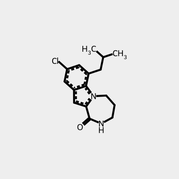 CC(C)Cc1cc(Cl)cc2cc3n(c12)CCCNC3=O